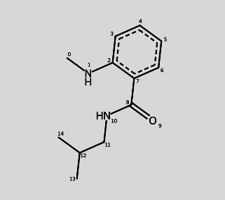 CNc1ccccc1C(=O)NCC(C)C